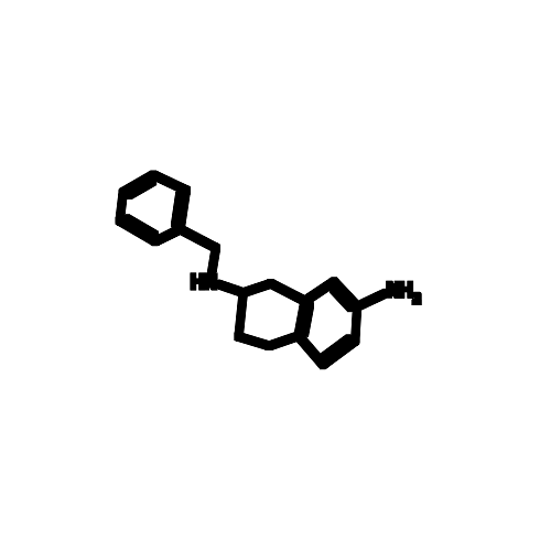 Nc1ccc2c(c1)CC(NCc1ccccc1)CC2